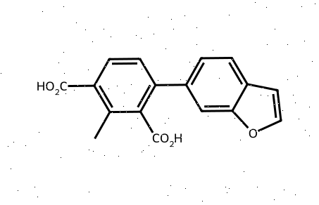 Cc1c(C(=O)O)ccc(-c2ccc3ccoc3c2)c1C(=O)O